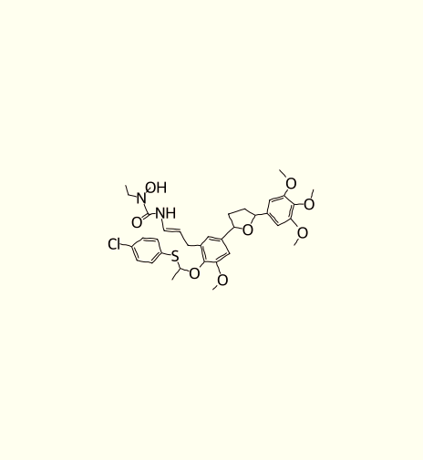 CCN(O)C(=O)N/C=C/Cc1cc(C2CCC(c3cc(OC)c(OC)c(OC)c3)O2)cc(OC)c1OC(C)Sc1ccc(Cl)cc1